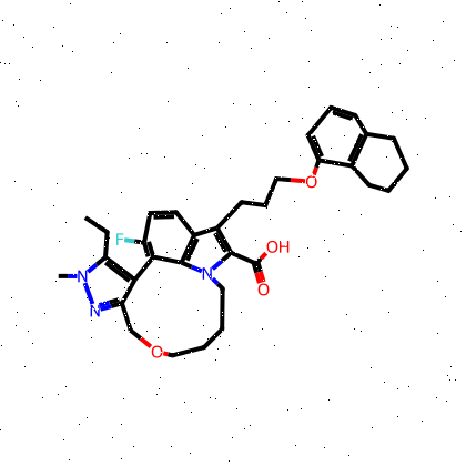 CCc1c2c(nn1C)COCCCCn1c(C(=O)O)c(CCCOc3cccc4c3CCCC4)c3ccc(F)c-2c31